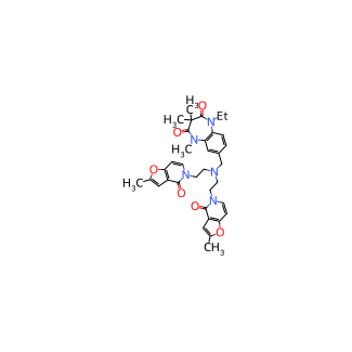 CCN1C(=O)C(C)(C)C(=O)N(C)c2cc(CN(CCn3ccc4oc(C)cc4c3=O)CCn3ccc4oc(C)cc4c3=O)ccc21